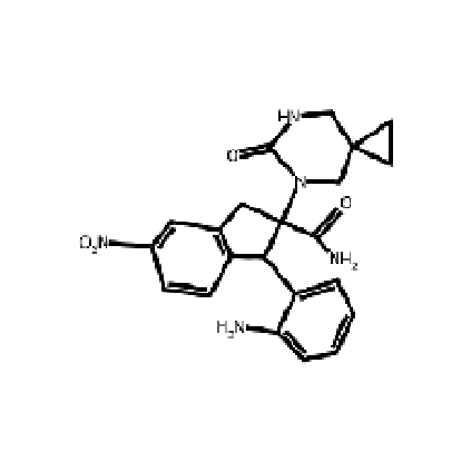 NC(=O)C1(N2CC3(CC3)CNC2=O)Cc2cc([N+](=O)[O-])ccc2C1c1ccccc1N